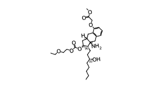 CCCCC[C@H](O)CC[C@H]1[C@H](OC(=O)OCCOCC)C[C@@H]2Cc3c(cccc3OCC(=O)OC)C[C@@]21N